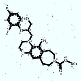 COCC(CN1CCOc2cc3c(c(C)c21)CCN(C(=O)OC(C)(C)C)CC3)Oc1ccc(F)cc1F